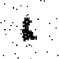 O=C(Nc1ccccc1C(=O)O)OCc1ccccc1